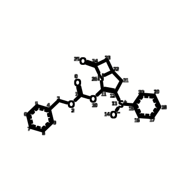 O=C(OCc1ccccc1)OC1=C([S+]([O-])c2ccccc2)CC2CC(=O)N12